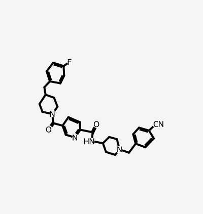 N#Cc1ccc(CN2CCC(NC(=O)c3ccc(C(=O)N4CCC(Cc5ccc(F)cc5)CC4)cn3)CC2)cc1